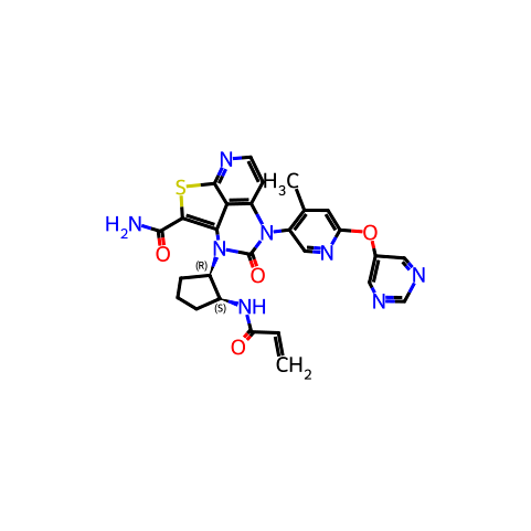 C=CC(=O)N[C@H]1CCC[C@H]1N1C(=O)N(c2cnc(Oc3cncnc3)cc2C)c2ccnc3sc(C(N)=O)c1c23